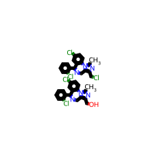 Cc1nc(CCl)c2n1-c1ccc(Cl)cc1C(c1ccccc1Cl)=NC2.Cc1nc(CO)c2n1-c1ccc(Cl)cc1C(c1ccccc1Cl)=NC2